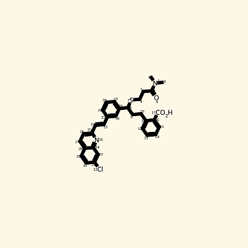 CN(C)C(=O)CCSC(CCc1ccccc1C(=O)O)c1cccc(C=Cc2ccc3ccc(Cl)cc3n2)c1